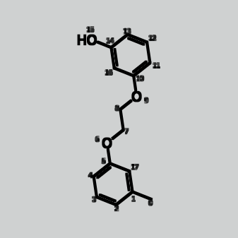 Cc1cccc(OCCOc2cccc(O)c2)c1